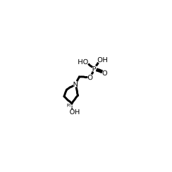 O=P(O)(O)OCN1CC[C@@H](O)C1